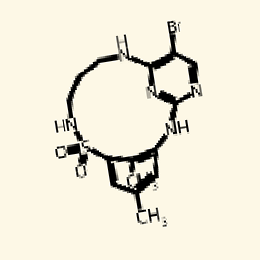 Cc1cc2c(C)c(c1)S(=O)(=O)NCCCNc1nc(ncc1Br)N2